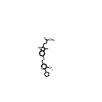 COC(=O)CCc1[nH]c2ccc(OCc3cnc(C4CCCC4)c(C(F)(F)F)c3)cc2c1C